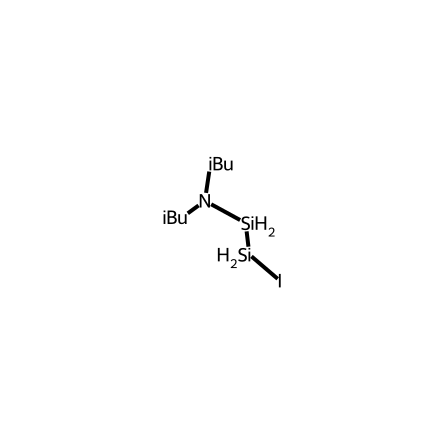 CCC(C)N([SiH2][SiH2]I)C(C)CC